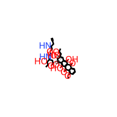 C#CCC(=N)COC(=O)NC1CC(O[C@H]2C[C@](O)(CC(C)=O)Cc3c(O)c4c(c(O)c32)C(=O)c2c(OC)cccc2C4=O)OC(C)C1O